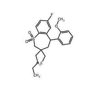 CCCCC1(CC)CC(c2ccccc2OC)c2cc(F)ccc2S(=O)(=O)C1